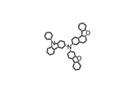 c1ccc(-n2c3ccccc3c3cc(N(c4ccc5c(ccc6oc7ccccc7c65)c4)c4ccc5c(c4)oc4ccccc45)ccc32)cc1